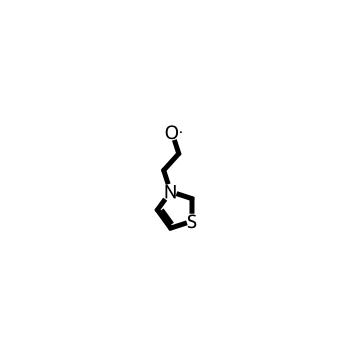 [O]CCN1C=CSC1